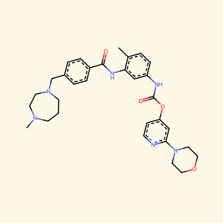 Cc1ccc(NC(=O)Oc2ccnc(N3CCOCC3)c2)cc1NC(=O)c1ccc(CN2CCCN(C)CC2)cc1